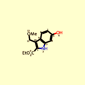 CCOC(=O)c1[nH]c2cc(O)ccc2c1COC